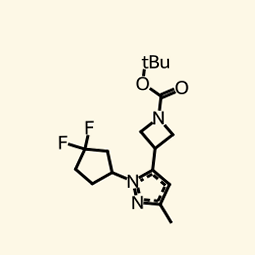 Cc1cc(C2CN(C(=O)OC(C)(C)C)C2)n(C2CCC(F)(F)C2)n1